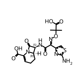 CC(C)(ON=C(C(=O)N[C@@H]1C(=O)N2C(C(=O)O)=CCC[C@H]12)c1csc(N)n1)C(=O)O